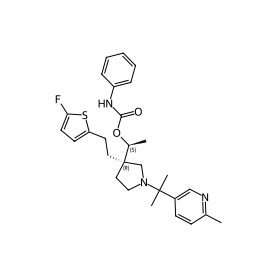 Cc1ccc(C(C)(C)N2CC[C@@](CCc3ccc(F)s3)([C@H](C)OC(=O)Nc3ccccc3)C2)cn1